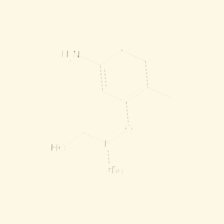 CC1=C(OP(CO)C(C)(C)C)C=C(N)CC1